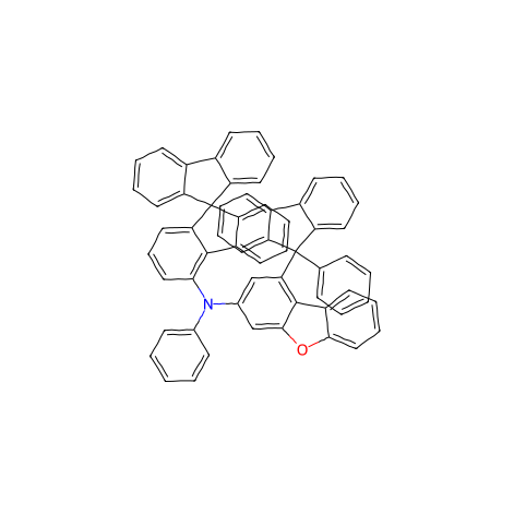 c1ccc(N(c2cc(C3(c4ccccc4)c4ccccc4-c4ccccc43)c3c(c2)oc2ccccc23)c2cccc3c2-c2ccccc2C32c3ccccc3-c3ccccc32)cc1